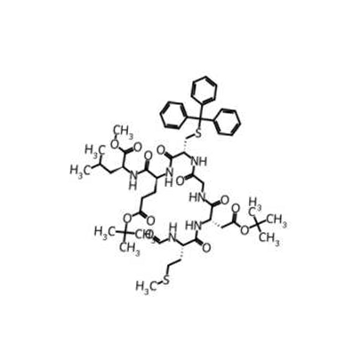 COC(=O)[C@H](CC(C)C)NC(=O)[C@H](CCC(=O)OC(C)(C)C)NC(=O)[C@H](CSC(c1ccccc1)(c1ccccc1)c1ccccc1)NC(=O)CNC(=O)[C@H](CC(=O)OC(C)(C)C)NC(=O)[C@H](CCSC)NC=O